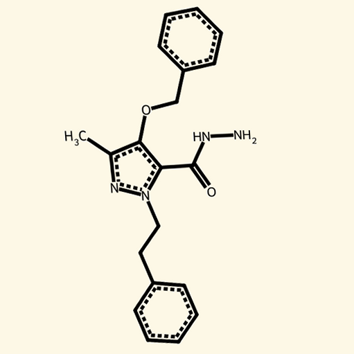 Cc1nn(CCc2ccccc2)c(C(=O)NN)c1OCc1ccccc1